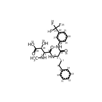 CNC(C(=O)N[C@@H](CCc1ccccc1)C(=O)Nc1cccc(C(F)(F)F)c1)[C@H](O)C(=O)O